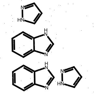 c1ccc2[nH]cnc2c1.c1ccc2[nH]cnc2c1.c1cn[nH]c1.c1cn[nH]c1